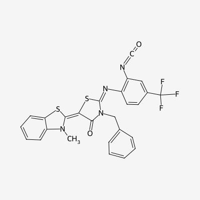 CN1C(=C2SC(=Nc3ccc(C(F)(F)F)cc3N=C=O)N(Cc3ccccc3)C2=O)Sc2ccccc21